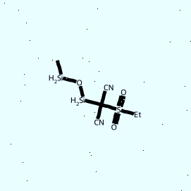 CCS(=O)(=O)C(C#N)(C#N)[SiH2]O[SiH2]C